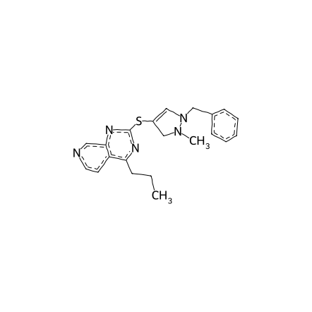 CCCc1nc(SC2=CN(Cc3ccccc3)N(C)C2)nc2cnccc12